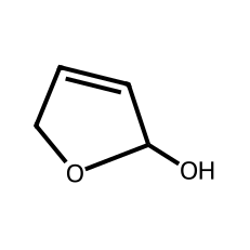 OC1C=CCO1